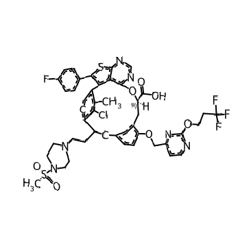 Cc1c2ccc(c1Cl)C(CCN1CCN(S(C)(=O)=O)CC1)Cc1ccc(OCc3ccnc(OCCC(F)(F)F)n3)c(c1)C[C@H](C(=O)O)Oc1ncnc3sc(-c4ccc(F)cc4)c-2c13